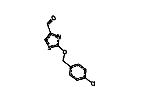 O=Cc1csc(OCc2ccc(Cl)cc2)n1